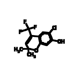 CC1(C)C=C(C(F)(F)F)c2cc(Cl)c(O)cc2O1